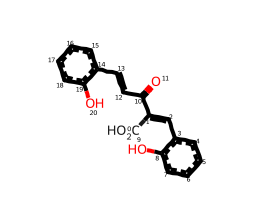 O=C(O)C(=Cc1ccccc1O)C(=O)C=Cc1ccccc1O